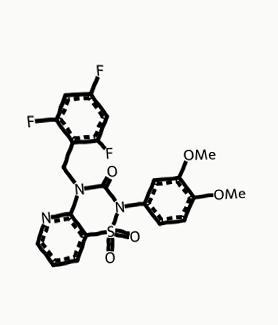 COc1ccc(N2C(=O)N(Cc3c(F)cc(F)cc3F)c3ncccc3S2(=O)=O)cc1OC